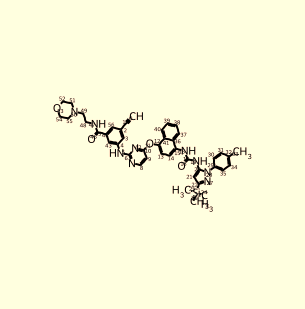 C#Cc1cc(Nc2nccc(Oc3ccc(NC(=O)Nc4cc([Si](C)(C)C)nn4-c4ccc(C)cc4)c4ccccc34)n2)cc(C(=O)NCCN2CCOCC2)c1